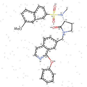 COc1ccc2ccc(S(=O)(=O)N(C)[C@@H]3CCN(Cc4ccc5ccnc(Oc6ccccc6)c5c4)C3=O)cc2c1